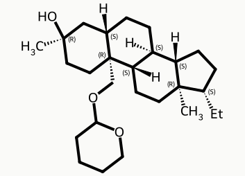 CC[C@H]1CC[C@H]2[C@@H]3CC[C@H]4C[C@](C)(O)CC[C@]4(COC4CCCCO4)[C@H]3CC[C@]12C